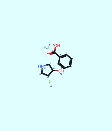 Cl.O=C(O)c1ccccc1.O[C@@H]1CNC[C@H]1F